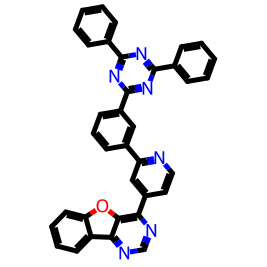 c1ccc(-c2nc(-c3ccccc3)nc(-c3cccc(-c4cc(-c5ncnc6c5oc5ccccc56)ccn4)c3)n2)cc1